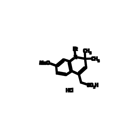 CCN1c2cc(OC)ccc2C(CS(=O)(=O)O)=CC1(C)C.Cl